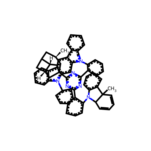 C[C@@H]1CC2C[C@H]3CC(c4nc(-c5ccccc5N5c6ccccc6C6(C)C=CC=CC56)nc(-c5ccccc5-n5c6ccccc6c6cc7c8ccccc8n(-c8ccccc8)c7cc65)n4)(C1)C[C@@H]23